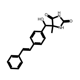 CC1(C(O)c2ccc(C=Cc3ccccc3)cc2)NC(=O)NC1=O